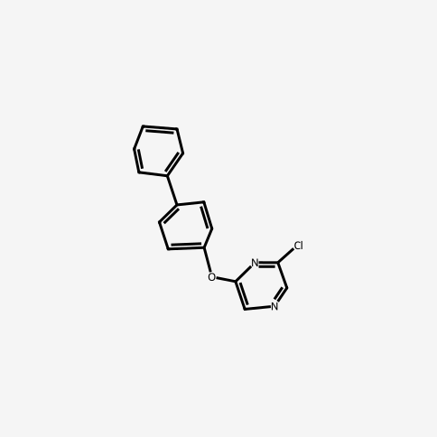 Clc1cncc(Oc2ccc(-c3ccccc3)cc2)n1